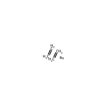 C=C.C=C.[Ru]